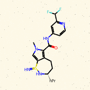 CCC[C@H]1CCc2c(cn(C)c2C(=O)Nc2ccnc(C(F)F)c2)S(=N)N1